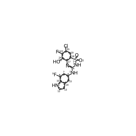 O=S1(=O)NC(Nc2cc(F)c3[nH]ccc3c2)=Nc2c1cc(Cl)c(F)c2O